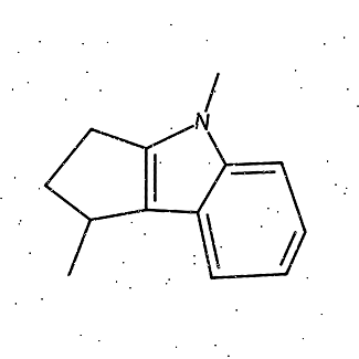 CC1CCc2c1c1ccccc1n2C